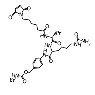 CCNC(=O)OCc1ccc(NC(=O)[C@H](CCCCNC(N)=O)NC(=O)[C@@H](NC(=O)CCCCCN2C(=O)C=CC2=O)C(C)C)cc1